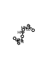 O=C(Nc1ccc2[nH]c(-c3ccc(-c4cnc([C@@H]5CCCN5C(=O)Cc5ccccc5)[nH]4)cc3)cc2c1)[C@@H]1CCCN1C(=O)Cc1ccccc1